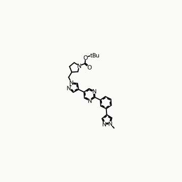 Cn1cc(-c2cccc(-c3ncc(-c4cnn(CC5CCN(C(=O)OC(C)(C)C)C5)c4)cn3)c2)cn1